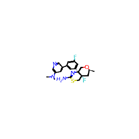 C[C@H]1C[C@@]2(F)CSC(N)=N[C@@]2(c2cc(F)cc(-c3cncc(N(C)C)c3)c2)CO1